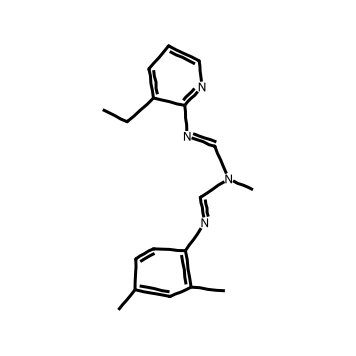 CCc1cccnc1N=CN(C)C=Nc1ccc(C)cc1C